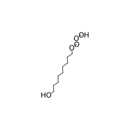 OCCCCCCCCCOOOO